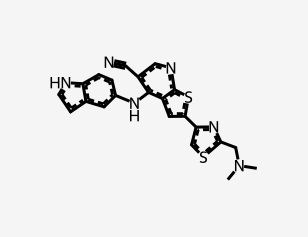 CN(C)Cc1nc(-c2cc3c(Nc4ccc5[nH]ccc5c4)c(C#N)cnc3s2)cs1